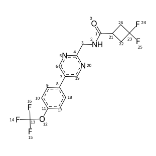 O=C(NCc1ncc(-c2ccc(OC(F)(F)F)cc2)cn1)C1CC(F)(F)C1